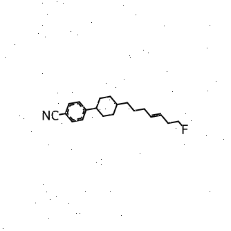 N#Cc1ccc(C2CCC(CCC/C=C/CCF)CC2)cc1